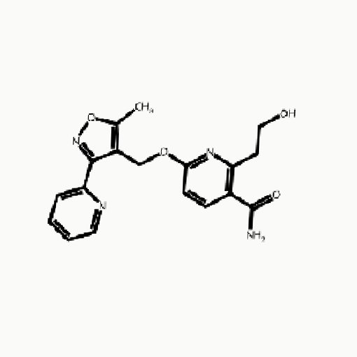 Cc1onc(-c2ccccn2)c1COc1ccc(C(N)=O)c(CCO)n1